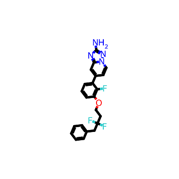 Nc1nc2cc(-c3cccc(OCCC(F)(F)Cc4ccccc4)c3F)ccn2n1